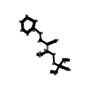 COP(=O)(CC[C@@H](N)C(=O)OCc1ccccc1)OC